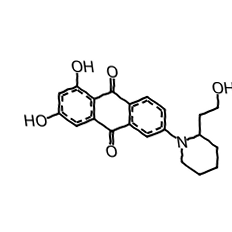 O=C1c2cc(N3CCCCC3CCO)ccc2C(=O)c2c(O)cc(O)cc21